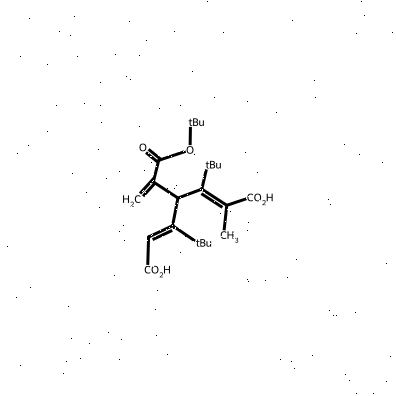 C=C(C(=O)OC(C)(C)C)C(C(=CC(=O)O)C(C)(C)C)C(=C(C)C(=O)O)C(C)(C)C